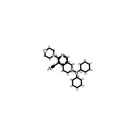 N#Cc1c(N2CCOCC2)ncc2c1CCN(N(C1CCCCC1)C1CCCCC1)C2